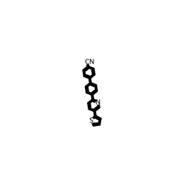 N#Cc1ccc(-c2ccc(-c3ccc(-c4cccs4)cn3)cc2)cc1